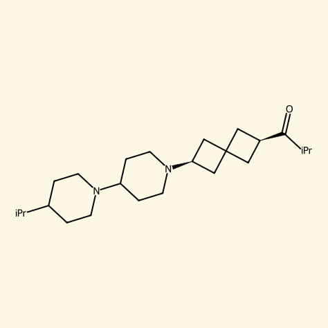 CC(C)C(=O)[C@H]1CC2(C1)C[C@H](N1CCC(N3CCC(C(C)C)CC3)CC1)C2